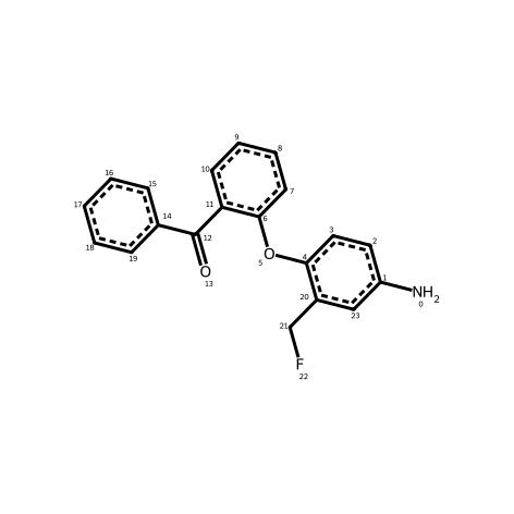 Nc1ccc(Oc2ccccc2C(=O)c2ccccc2)c(CF)c1